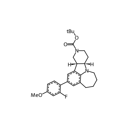 COc1ccc(-c2cc3c4c(c2)[C@@H]2CN(C(=O)OC(C)(C)C)CC[C@@H]2N4CCCC3)c(F)c1